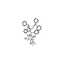 CC(C)(C)[S@@+]([O-])N[C@H](c1ccccc1)c1c(CCP(c2ccccc2)c2ccccc2)n(Sc2ccccc2)c2ccccc12